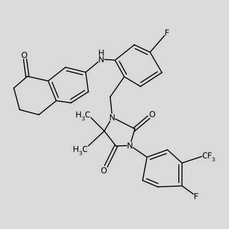 CC1(C)C(=O)N(c2ccc(F)c(C(F)(F)F)c2)C(=O)N1Cc1ccc(F)cc1Nc1ccc2c(c1)C(=O)CCC2